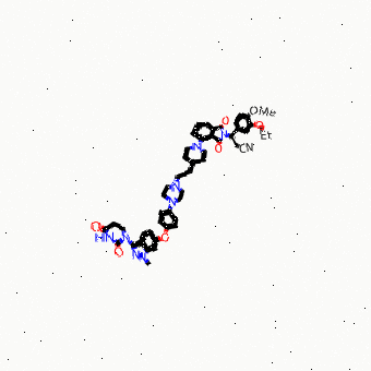 CCOc1cc([C@@H](CC#N)N2C(=O)c3cccc(N4CCC(CCN5CCN(c6ccc(Oc7ccc8c(N9CCC(=O)NC9=O)nn(C)c8c7)cc6)CC5)CC4)c3C2=O)ccc1OC